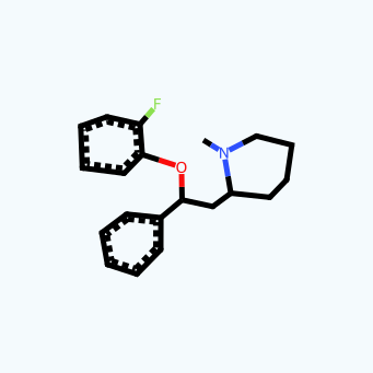 CN1CCCCC1CC(Oc1ccccc1F)c1ccccc1